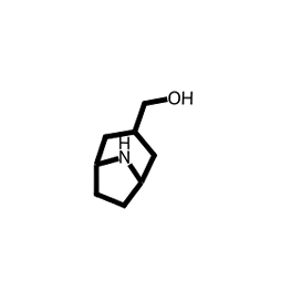 OCC1CC2CCC(C1)N2